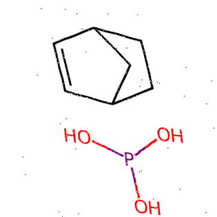 C1=CC2CCC1C2.OP(O)O